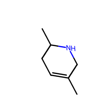 CC1=CCC(C)NC1